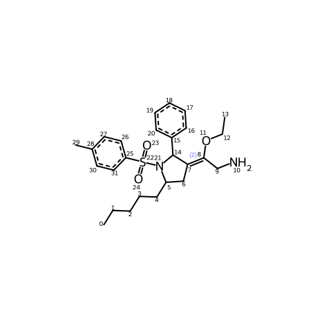 CCCCCC1C/C(=C(\CN)OCC)C(c2ccccc2)N1S(=O)(=O)c1ccc(C)cc1